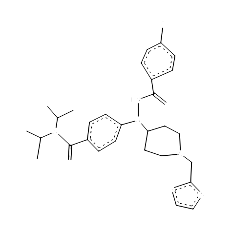 CC(C)N(C(=O)c1ccc(N(NC(=O)c2ccc(F)cc2)C2CCN(Cc3nccs3)CC2)cc1)C(C)C